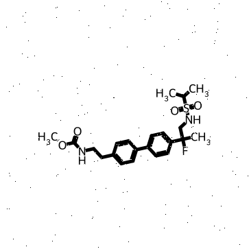 COC(=O)NCCc1ccc(-c2ccc(C(C)(F)CNS(=O)(=O)C(C)C)cc2)cc1